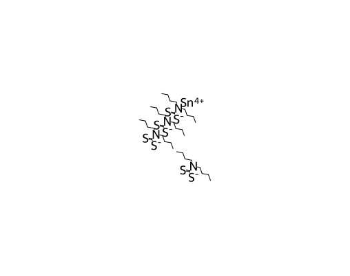 CCCCN(CCCC)C(=S)[S-].CCCCN(CCCC)C(=S)[S-].CCCCN(CCCC)C(=S)[S-].CCCCN(CCCC)C(=S)[S-].[Sn+4]